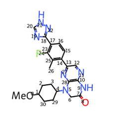 COC1CCC(N2CC(=O)Nc3ncc(-c4ccc(-c5nc[nH]n5)c(F)c4C)nc32)CC1